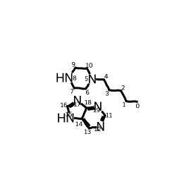 CCCCCN1CCNCC1.c1ncc2[nH]cnc2n1